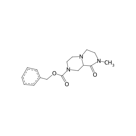 CN1CCN2CCN(C(=O)OCc3ccccc3)CC2C1=O